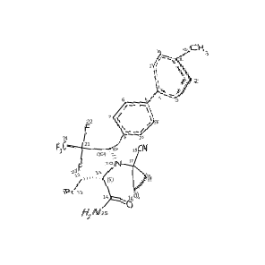 Cc1ccc(-c2ccc([C@H](N([C@@H](CC(C)C)C(N)=O)C3(C#N)CC3)C(F)(F)C(F)(F)F)cc2)cc1